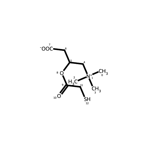 C[N+](C)(C)CC(CC(=O)[O-])OC(=O)CS